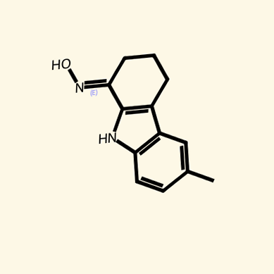 Cc1ccc2[nH]c3c(c2c1)CCC/C3=N\O